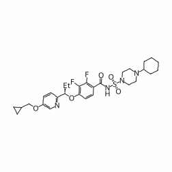 CC[C@@H](Oc1ccc(C(=O)NS(=O)(=O)N2CCN(C3CCCCC3)CC2)c(F)c1F)c1ccc(OCC2CC2)cn1